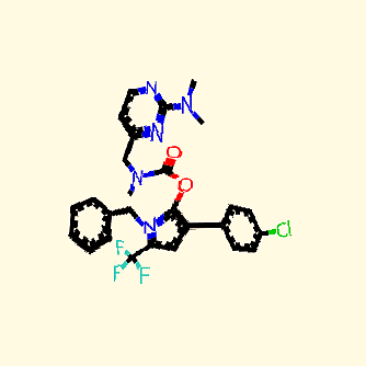 CN(Cc1ccnc(N(C)C)n1)C(=O)Oc1c(-c2ccc(Cl)cc2)cc(C(F)(F)F)n1Cc1ccccc1